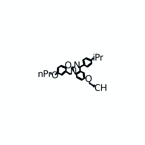 C#CCOc1ccc2c(c1)c(-c1ccc(C(C)C)cc1)nc(=O)n2Cc1cccc(OCCC)c1